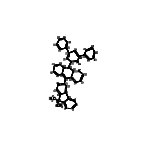 C[Si]1(C)c2ccccc2-c2cc(-c3c4ccccc4c(-c4nc(-c5ccccc5)cc(-c5ccccc5)n4)c4ccccc34)ccc21